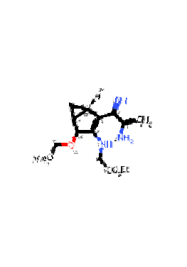 C=C(N)C(=N)C1=C(NCC(=O)OCC)C(OCOC)C2C[C@H]12